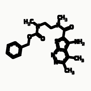 Cc1nnc2sc(C(=O)N(C)CCN(C)C(=O)OCc3ccccc3)c(N)c2c1C